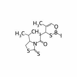 CC1=COB(I)SC1CC(=O)N1C(=S)SCC1C(C)C